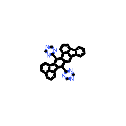 c1ccc2c(c1)c1cccc3c4c(-c5ncncn5)c5c6cccc7cccc(c5c(-c5ncncn5)c4cc2c13)c76